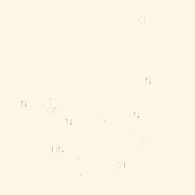 Cc1c(C(=O)N2CCN(c3cccc(Cl)c3)CC2)sc2nc(CC3OC4CCN3C4C(F)(F)F)[nH]c(=O)c12